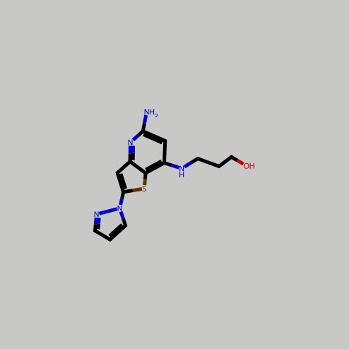 Nc1cc(NCCCO)c2sc(-n3cccn3)cc2n1